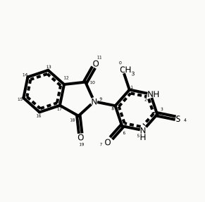 Cc1[nH]c(=S)[nH]c(=O)c1N1C(=O)c2ccccc2C1=O